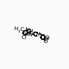 Cc1cc(Cl)cc2c(NC3CCN(Cc4ccc5c(c4)OCO5)CC3)ncnc12